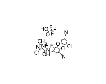 Cc1nc(Cl)c(C(=O)NCc2cc(C#N)c(Cl)c(Oc3cc(Cl)cc(C#N)c3)c2F)[nH]1.O=C(O)C(F)(F)F